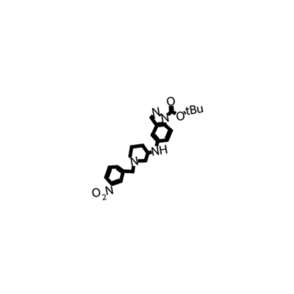 CC(C)(C)OC(=O)n1ncc2cc(NC3CCCN(Cc4cccc([N+](=O)[O-])c4)C3)ccc21